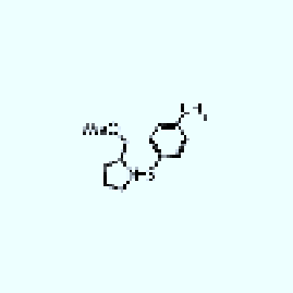 COCC1CCCN1Sc1ccc(C)cc1